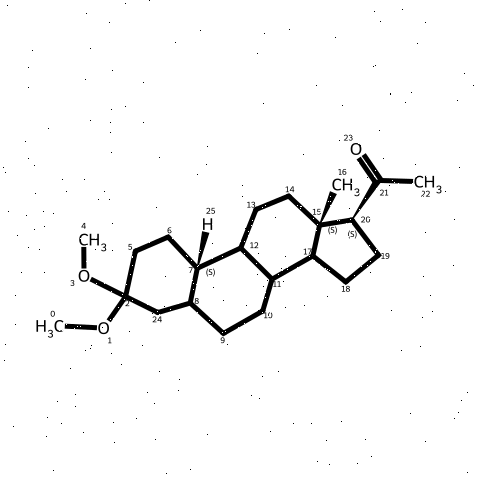 COC1(OC)CC[C@H]2C(CCC3C2CC[C@@]2(C)C3CC[C@@H]2C(C)=O)C1